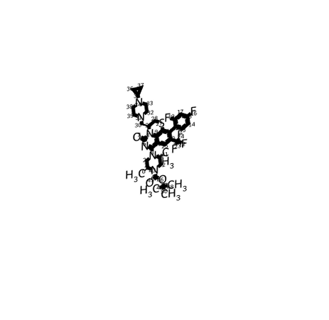 C[C@@H]1CN(c2nc(=O)n3c4c(c(-c5ccc(F)cc5F)c(C(F)(F)F)cc24)SC[C@@H]3CN2CCN(C3CC3)CC2)[C@@H](C)CN1C(=O)OC(C)(C)C